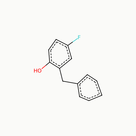 Oc1ccc(F)cc1Cc1ccccc1